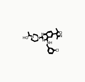 Cc1noc(C)c1-c1ccc2nc(N3CCCN(C(C)O)CC3)nc(NCc3cccc(Cl)c3)c2c1